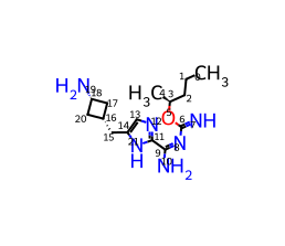 CCC[C@H](C)OC(=N)/N=C(/N)c1ncc(C[C@H]2C[C@@H](N)C2)[nH]1